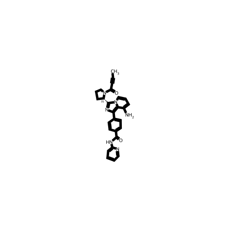 CC#CC(=O)N1CCC[C@H]1c1nc(-c2ccc(C(=O)Nc3ccccn3)cc2)c2c(N)cccn12